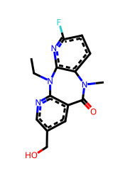 CCN1c2ncc(CO)cc2C(=O)N(C)c2ccc(F)nc21